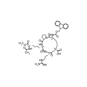 COC(=O)[C@H](CCCC[C@@H]1NC(=O)C2CCCN2C(=O)[C@@H](NC(=O)OCC2c3ccccc3-c3ccccc32)CCCC[C@@H](C(=O)O)CC(=O)[C@H](CCCNC(=N)N)NC1=O)NC(C)=O